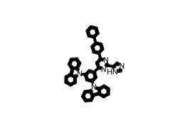 c1ccc(-c2ccc(-c3cc(-c4cc(-n5c6ccccc6c6ccccc65)cc(-n5c6ccccc6c6ccccc65)c4)nc(-c4cnc[nH]4)n3)cc2)cc1